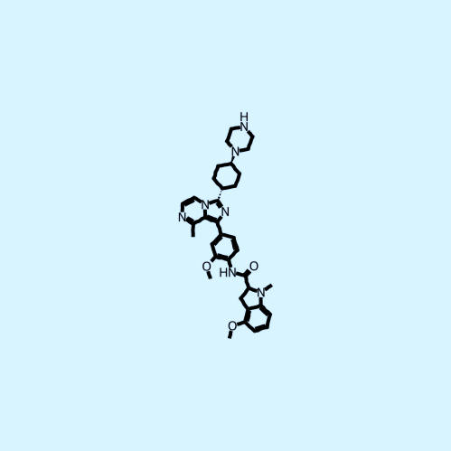 COc1cc(-c2nc([C@H]3CC[C@H](N4CCNCC4)CC3)n3ccnc(C)c23)ccc1NC(=O)C1Cc2c(OC)cccc2N1C